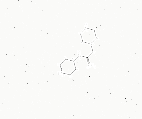 C=C(CN1CCNCC1)NC1CCNCC1